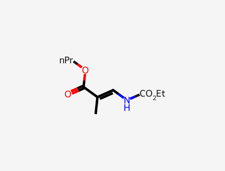 CCCOC(=O)C(C)=CNC(=O)OCC